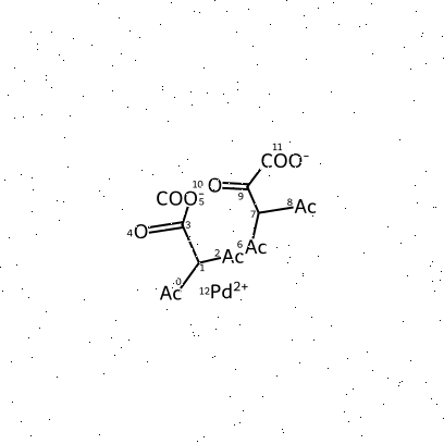 CC(=O)C(C(C)=O)C(=O)C(=O)[O-].CC(=O)C(C(C)=O)C(=O)C(=O)[O-].[Pd+2]